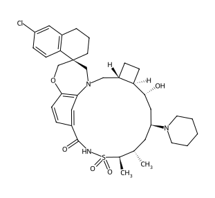 C[C@@H]1[C@@H](C)C[C@H](N2CCCCC2)C[C@@H](O)[C@@H]2CC[C@H]2CN2C[C@@]3(CCCc4cc(Cl)ccc43)COc3ccc(cc32)C(=O)NS1(=O)=O